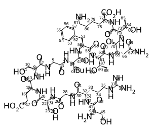 CC[C@H](C)[C@H](NC(=O)CNC(=O)[C@H](CO)NC(=O)[C@H](CCC(=O)O)NC(=O)[C@H](CO)NC(=O)CNC(=O)[C@H](CCCNC(=N)N)NC(=O)[C@@H](N)CO)C(=O)N[C@@H](Cc1ccccc1)C(=O)N[C@H](C(=O)N[C@@H](CC(N)=O)C(=O)N[C@H](C(=O)N[C@@H](CCCCN)C(=O)O)[C@@H](C)O)[C@@H](C)O